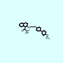 COc1ccc(-c2ccc(SCCOc3ccc4ccccc4c3C(=O)NO)cc2)cc1